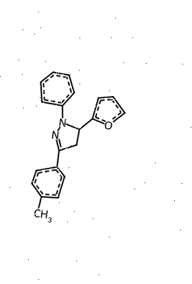 Cc1ccc(C2=NN(c3ccccc3)C(c3ccco3)C2)cc1